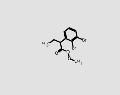 CCC(C(=O)OOC)c1cccc(Br)c1Br